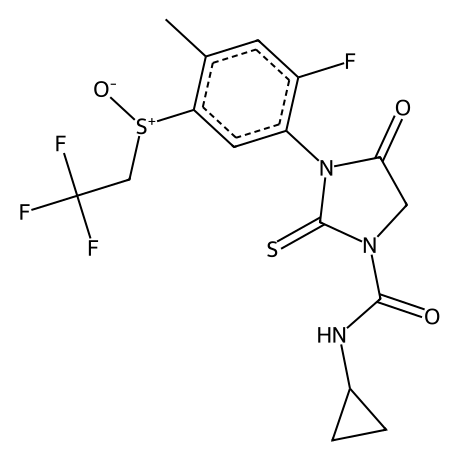 Cc1cc(F)c(N2C(=O)CN(C(=O)NC3CC3)C2=S)cc1[S+]([O-])CC(F)(F)F